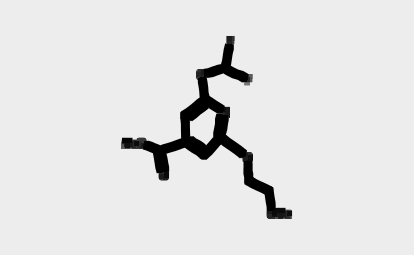 COCCOc1cc(C(=O)OC)cc(OC(F)F)n1